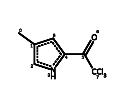 Cc1c[nH]c(C(=O)C(Cl)(Cl)Cl)c1